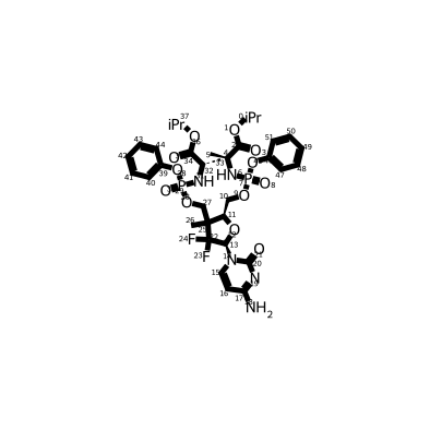 CC(C)OC(=O)[C@H](C)NP(=O)(OC[C@H]1O[C@@H](n2ccc(N)nc2=O)C(F)(F)C1(C)COP(=O)(N[C@@H](C)C(=O)OC(C)C)Oc1ccccc1)Oc1ccccc1